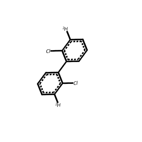 [2H]c1cccc(-c2cccc([2H])c2Cl)c1Cl